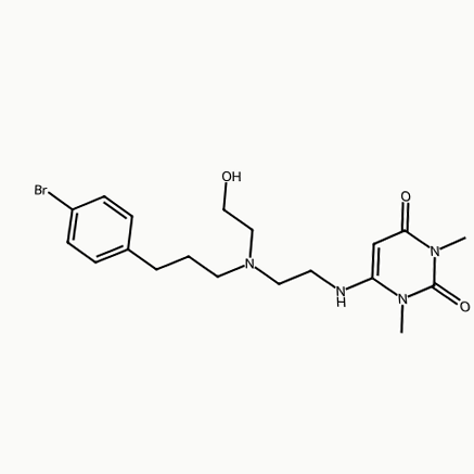 Cn1c(NCCN(CCO)CCCc2ccc(Br)cc2)cc(=O)n(C)c1=O